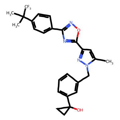 Cc1cc(-c2nc(-c3ccc(C(C)(C)C(F)(F)F)cc3)no2)nn1Cc1cccc(C2(O)CC2)c1